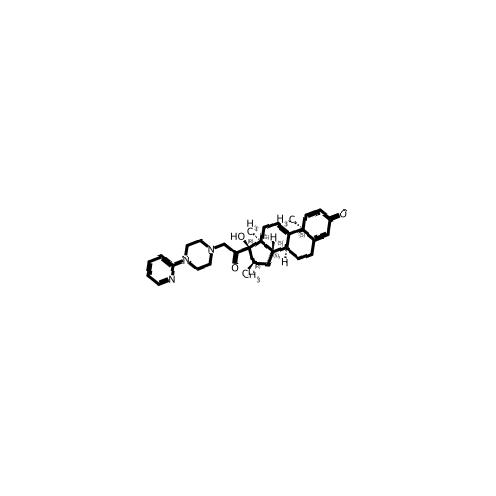 C[C@@H]1C[C@H]2[C@@H]3CCC4=CC(=O)C=C[C@]4(C)C3=CC[C@]2(C)[C@@]1(O)C(=O)CN1CCN(c2ccccn2)CC1